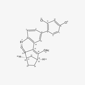 CCc1ccc(-c2ccc(Cl)cc2Cl)cc1C1=C(OC(C)=O)[C@H]2CC[C@H](C2)C1=O